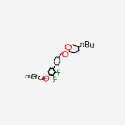 CCCCOc1ccc(C2CCC(COC3CCC(CCCC)CO3)CC2)c(F)c1F